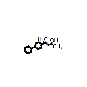 C/C(=C\C(C)O)c1ccc(-c2ccccc2)cc1